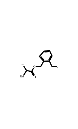 CCCCC(CC)C(=O)OCc1ccccc1CCl